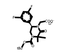 CC(C)(C)OC(=O)N1C[C@@H](c2cc(F)cc(F)c2)N(CC(=O)[O-])C(=O)C1(C)C.[Li+]